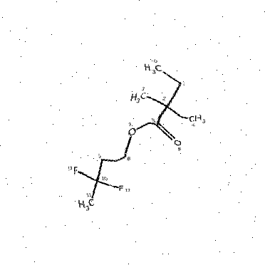 CCC(C)(C)C(=O)OCCC(C)(F)F